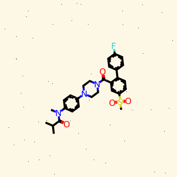 CC(C)C(=O)N(C)c1ccc(N2CCN(C(=O)c3cc(S(C)(=O)=O)ccc3-c3ccc(F)cc3)CC2)cc1